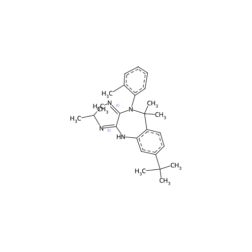 C/N=C1\C(=N/C(C)C)Nc2cc(C(C)(C)C)ccc2C(C)(C)N1c1ccccc1C